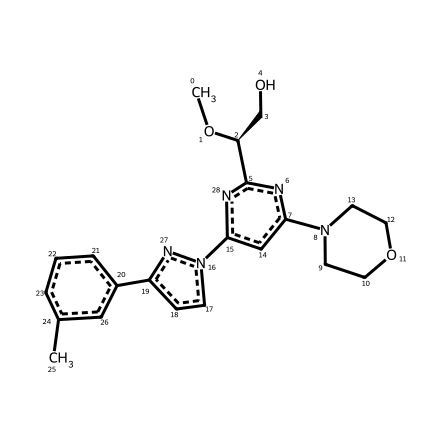 CO[C@@H](CO)c1nc(N2CCOCC2)cc(-n2ccc(-c3cccc(C)c3)n2)n1